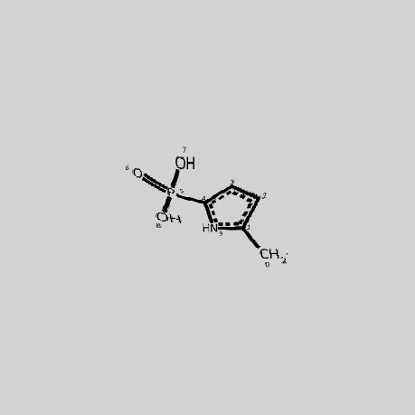 [CH2]c1ccc(P(=O)(O)O)[nH]1